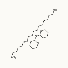 C1CCC(OC2CCCCO2)OC1.CCCCCC=CCCCCCCCCCCO